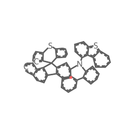 c1ccc(-c2ccccc2N(c2ccc3c(c2)C2(c4ccccc4Sc4ccccc42)c2c-3ccc3ccccc23)c2cccc3sc4ccccc4c23)cc1